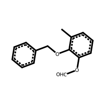 Cc1cccc(OC=O)c1OCc1ccccc1